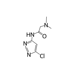 CN(C)CC(=O)Nc1cc(Cl)ncn1